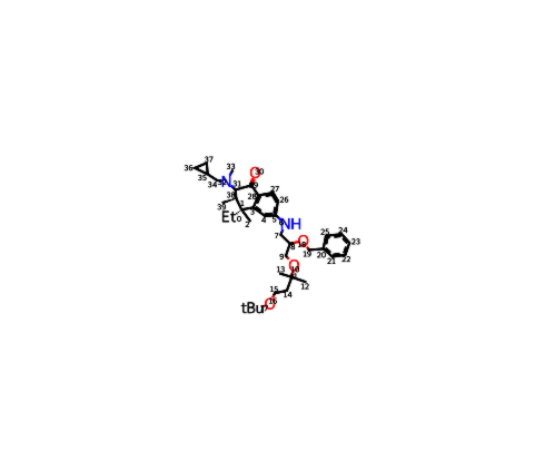 CC[C@@]1(C)c2cc(NCC(COC(C)(C)CCOC(C)(C)C)OCc3ccccc3)ccc2C(=O)C(N(C)CC2CC2)[C@@H]1C